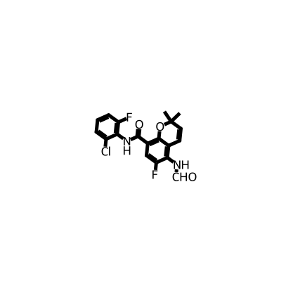 CC1(C)C=Cc2c(NC=O)c(F)cc(C(=O)Nc3c(F)cccc3Cl)c2O1